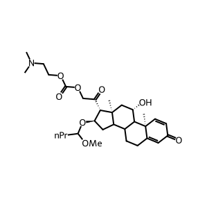 CCCC(OC)O[C@@H]1CC2C3CCC4=CC(=O)C=C[C@]4(C)C3[C@@H](O)C[C@]2(C)[C@H]1C(=O)COC(=O)OCCN(C)C